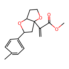 C=C(C(=O)OC)C12CC(c3ccc(C)cc3)OC1CCO2